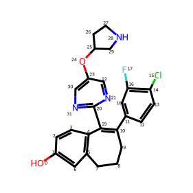 Oc1ccc2c(c1)CCCC(c1ccc(Cl)c(F)c1)=C2c1ncc(OC2CCNC2)cn1